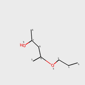 CCCOC(C)CC(C)O